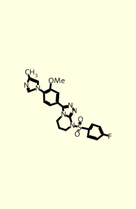 COc1cc(-c2nnc3n2CCCN3S(=O)(=O)c2ccc(F)cc2)ccc1-n1cnc(C)c1